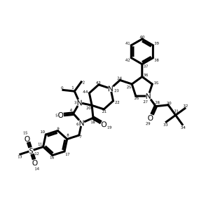 CC(C)N1C(=O)N(Cc2ccc(S(C)(=O)=O)cc2)C(=O)C12CCN(CC1CN(C(=O)CC(C)(C)C)CC1c1ccccc1)CC2